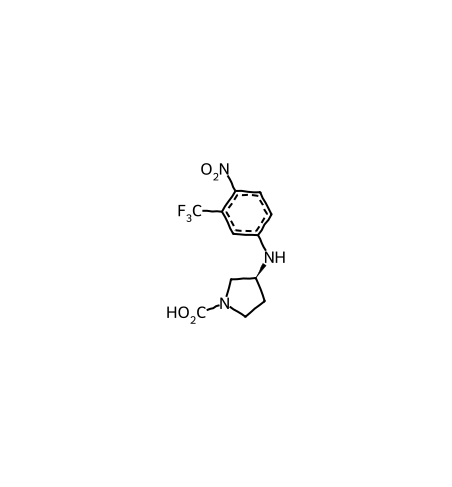 O=C(O)N1CC[C@H](Nc2ccc([N+](=O)[O-])c(C(F)(F)F)c2)C1